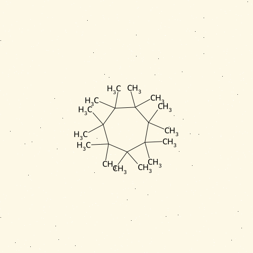 CC1(C)C(C)(C)C(C)(C)C(C)(C)C(C)(C)C(C)(C)C1(C)C